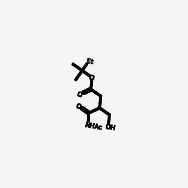 CCC(C)(C)OC(=O)CC(CO)C(=O)NC(C)=O